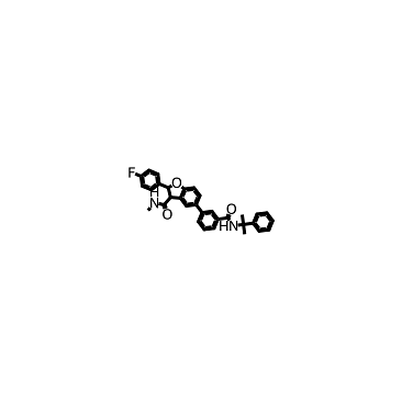 CNC(=O)C1c2cc(-c3cccc(C(=O)NC(C)(C)c4ccccc4)c3)ccc2OC1c1ccc(F)cc1